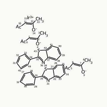 CC(=O)/C=C(/C)[O-].CC(=O)/C=C(/C)[O-].CC(=O)/C=C(/C)[O-].[Ir+3].c1ccc(-c2nc3ccccc3s2)cc1.c1ccc(-c2nc3ccccc3s2)cc1